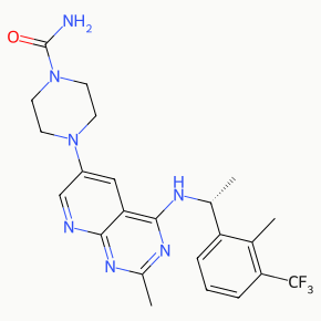 Cc1nc(N[C@H](C)c2cccc(C(F)(F)F)c2C)c2cc(N3CCN(C(N)=O)CC3)cnc2n1